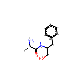 C[C@H](N)C(=O)N[C@H](CO)Cc1ccccc1